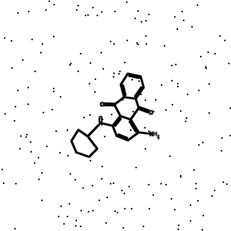 Nc1ccc(NC2CCCCC2)c2c1C(=O)c1ccccc1C2=O